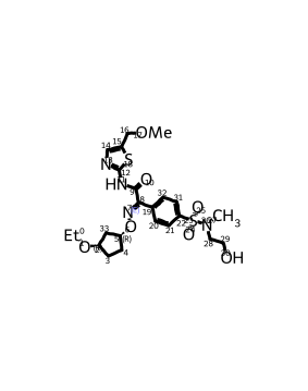 CCO[C@@H]1CC[C@@H](O/N=C(/C(=O)Nc2ncc(COC)s2)c2ccc(S(=O)(=O)N(C)CCO)cc2)C1